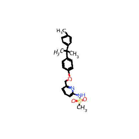 Cc1ccc(C(C)(C)c2ccc(OCc3cccc(NS(C)(=O)=O)n3)cc2)cc1